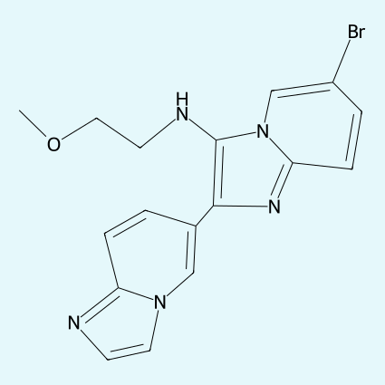 COCCNc1c(-c2ccc3nccn3c2)nc2ccc(Br)cn12